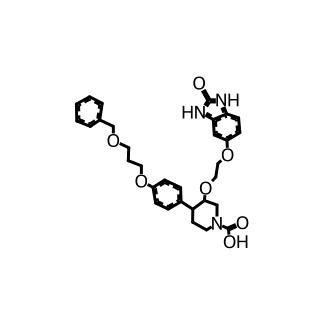 O=C(O)N1CCC(c2ccc(OCCCOCc3ccccc3)cc2)C(OCCOc2ccc3[nH]c(=O)[nH]c3c2)C1